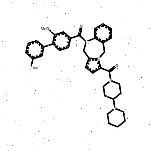 COc1cccc(-c2ccc(C(=O)N3Cc4ccc(C(=O)N5CCC(N6CCCCC6)CC5)n4Cc4ccccc43)cc2OC)c1